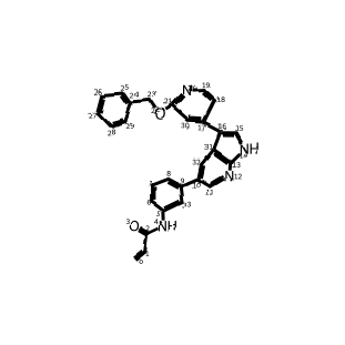 C=CC(=O)Nc1cccc(-c2cnc3[nH]cc(-c4ccnc(OCc5ccccc5)c4)c3c2)c1